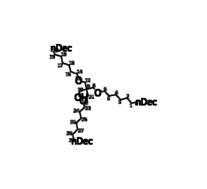 CCCCCCCCCCCCCCCCOCC(CO)(COCCCCCCCCCCCCCCCC)COCCCCCCCCCCCCCCCC